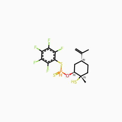 C=C(C)[C@@H]1CC[C@](C)(S)[C@@H](O[PH](=S)Sc2c(F)c(F)c(F)c(F)c2F)C1